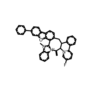 C=C1C2C(Cc3ccc4c(oc5cc(-c6ccccc6)ccc54)c3-c3n(C)c4ccccc4[n+]31)c1ccccc1-c1ccc(F)c[n+]12